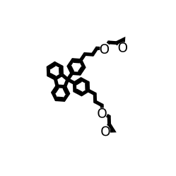 c1ccc2c(c1)-c1ccccc1C2(c1ccc(CCCOCC2CO2)cc1)c1ccc(CCCOCC2CO2)cc1